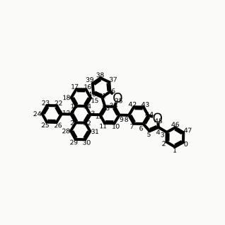 c1ccc(-c2cc3cc(-c4ccc(-c5c6ccccc6c(-c6ccccc6)c6ccccc56)c5c4oc4ccccc45)ccc3o2)cc1